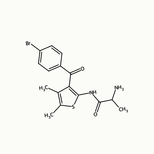 Cc1sc(NC(=O)C(C)N)c(C(=O)c2ccc(Br)cc2)c1C